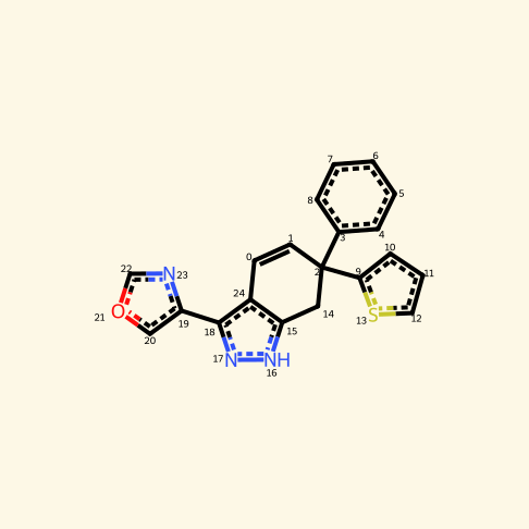 C1=CC(c2ccccc2)(c2cccs2)Cc2[nH]nc(-c3cocn3)c21